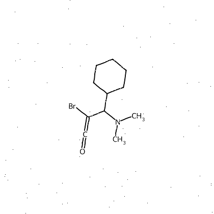 CN(C)C(C(Br)=C=O)C1CCCCC1